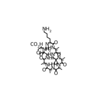 C[C@H](NC(=O)[C@H](C)NC(=O)[C@H](C)NC(=O)[C@H](C)NC(=O)[C@@H](N)CCCCN)C(=O)N[C@@H](C)C(=O)N[C@@H](C)C(=O)N[C@@H](C)C(=O)N[C@@H](CO)C(=O)O